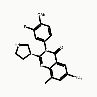 COc1ccc(-n2c([C@H]3CCNC3)nc3c(C)cc([N+](=O)[O-])cc3c2=O)cc1F